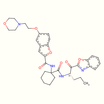 CCC[C@H](NC(=O)C1(NC(=O)c2cc3cc(OCCN4CCOCC4)ccc3o2)CCCCC1)C(=O)c1nc2ccccc2o1